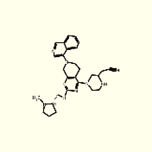 CN1CCC[C@H]1COc1nc2c(c(N3CCNC(CC#N)C3)n1)CCN(c1cncc3ccccc13)C2